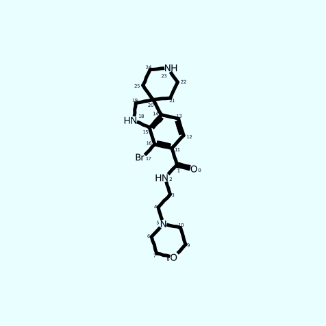 O=C(NCCN1CCOCC1)c1ccc2c(c1Br)NCC21CCNCC1